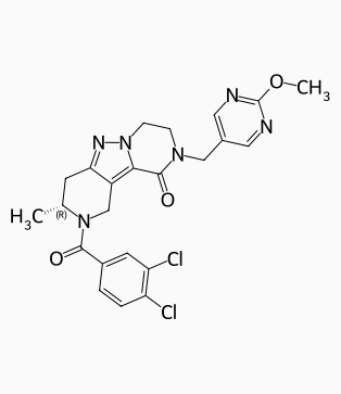 COc1ncc(CN2CCn3nc4c(c3C2=O)CN(C(=O)c2ccc(Cl)c(Cl)c2)[C@H](C)C4)cn1